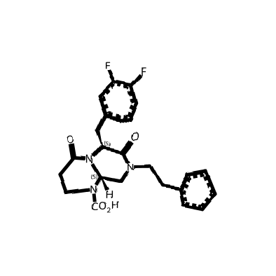 O=C1[C@H](Cc2ccc(F)c(F)c2)N2C(=O)CCN(C(=O)O)[C@H]2CN1CCc1ccccc1